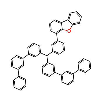 c1ccc(-c2cccc(-c3cccc(C(c4cccc(-c5cccc(-c6ccccc6)c5)c4)c4cccc(-c5cccc6c5oc5ccccc56)c4)c3)c2)cc1